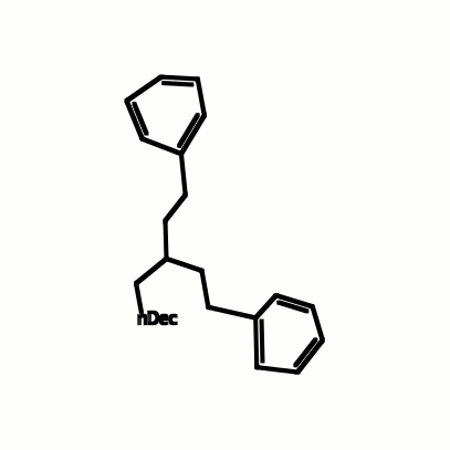 CCCCCCCCCCCC(CCc1ccccc1)CCc1ccccc1